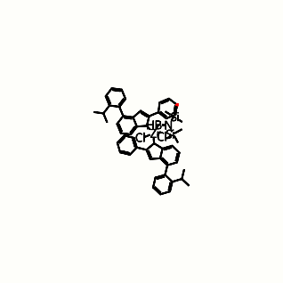 CC(C)c1ccccc1-c1cccc2c1C=C(c1ccccc1)[CH]2[Zr]([Cl])([Cl])([BH]N([Si](C)(C)C)[Si](C)(C)C)[CH]1C(c2ccccc2)=Cc2c(-c3ccccc3C(C)C)cccc21